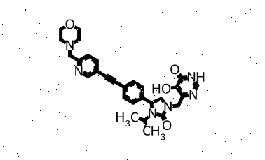 CC(C)N1C(=O)N(Cc2nc[nH]c(=O)c2O)CC1c1ccc(C#Cc2ccc(CN3CCOCC3)nc2)cc1